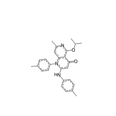 Cc1ccc(Nc2cc(=O)c3c(OC(C)C)nc(C)cc3n2-c2ccc(C)cc2)cc1